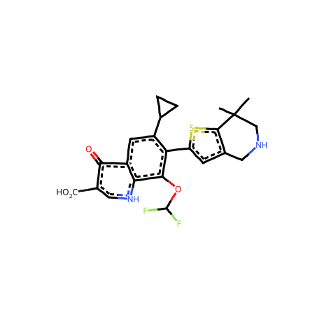 CC1(C)CNCc2cc(-c3c(C4CC4)cc4c(=O)c(C(=O)O)c[nH]c4c3OC(F)F)sc21